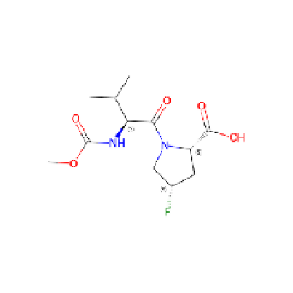 COC(=O)N[C@H](C(=O)N1C[C@@H](F)C[C@H]1C(=O)O)C(C)C